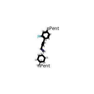 CCCCCc1ccc(C#C/C=C/[C@H]2CC[C@H](CCCCC)CC2)c(F)c1